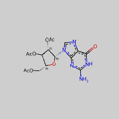 CC(=O)OC[C@H]1O[C@@H](n2cnc3c(=O)[nH]c(N)nc32)[C@@H](OC(C)=O)C1OC(C)=O